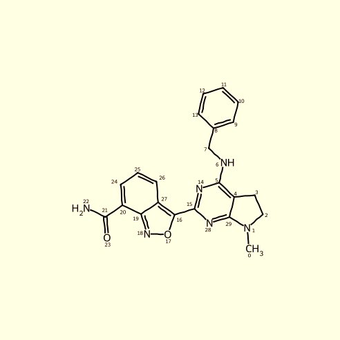 CN1CCc2c(NCc3ccccc3)nc(-c3onc4c(C(N)=O)cccc34)nc21